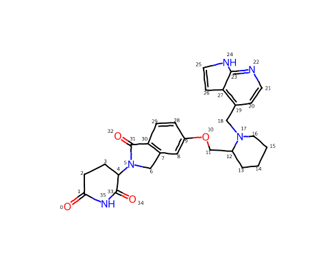 O=C1CCC(N2Cc3cc(OCC4CCCCN4Cc4ccnc5[nH]ccc45)ccc3C2=O)C(=O)N1